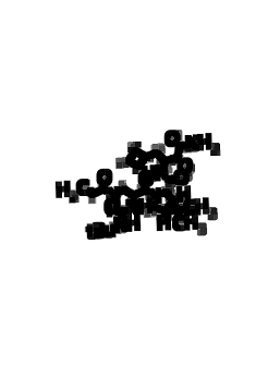 C=CC(=O)NCC(NC(=O)NC(C)(C)C)C(=O)N1C[C@H]2[C@@H]([C@H]1C(=O)NC(CC1CCC1)C(=O)C(N)=O)C2(C)C